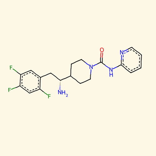 N[C@H](Cc1cc(F)c(F)cc1F)C1CCN(C(=O)Nc2ccccn2)CC1